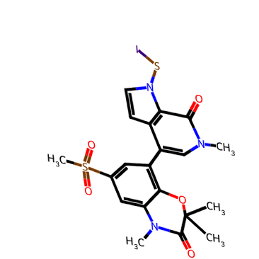 CN1C(=O)C(C)(C)Oc2c(-c3cn(C)c(=O)c4c3ccn4SI)cc(S(C)(=O)=O)cc21